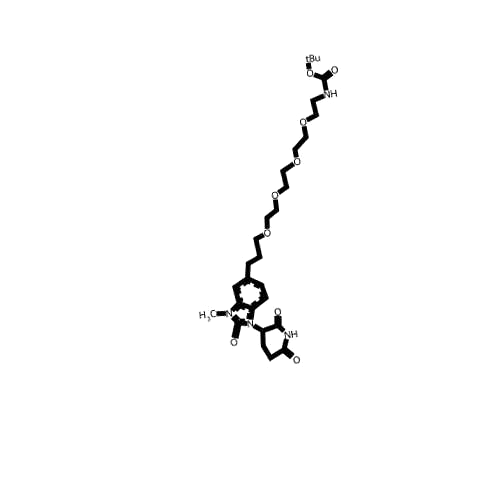 Cn1c(=O)n(C2CCC(=O)NC2=O)c2ccc(CCCOCCOCCOCCOCCNC(=O)OC(C)(C)C)cc21